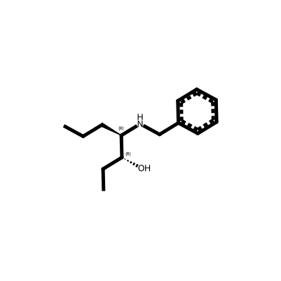 CCC[C@@H](NCc1ccccc1)[C@H](O)CC